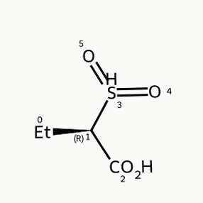 CC[C@H](C(=O)O)[SH](=O)=O